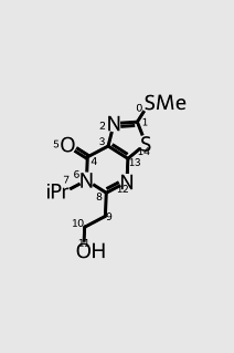 CSc1nc2c(=O)n(C(C)C)c(CCO)nc2s1